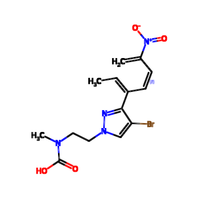 C=C(/C=C\C(=CC)c1nn(CCN(C)C(=O)O)cc1Br)[N+](=O)[O-]